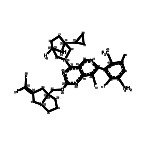 Cc1cc(N)c(F)c(-c2ncc3c(N4C[C@@H]5CC[C@](C6CC6)(C4)N5)nc(OC[C@@]45CCCN4CC(=C(F)F)C5)nc3c2F)c1C(F)(F)F